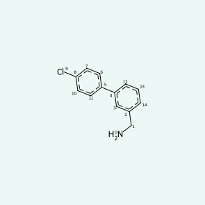 NCc1[c]c(-c2ccc(Cl)cc2)ccc1